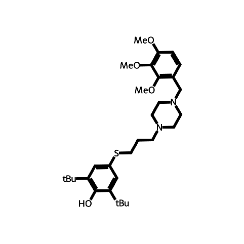 COc1ccc(CN2CCN(CCCSc3cc(C(C)(C)C)c(O)c(C(C)(C)C)c3)CC2)c(OC)c1OC